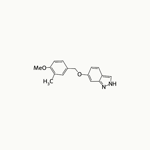 COc1ccc(COc2ccc3c[nH]nc3c2)cc1C